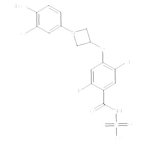 CC(C)COc1ccc(N2CC(Oc3cc(F)c(C(=O)NS(C)(=O)=O)cc3Cl)C2)cc1Cl